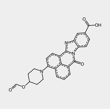 O=COC1CCN(c2ccc3c4c2cccc4c(=O)n2c4ccc(C(=O)O)cc4nc32)CC1